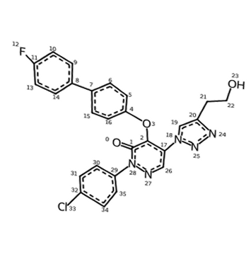 O=c1c(Oc2ccc(-c3ccc(F)cc3)cc2)c(-n2cc(CCO)nn2)cnn1-c1ccc(Cl)cc1